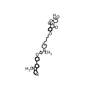 Cn1c2ccncc2c2ccc(-c3ccc(O[C@H]4C[C@H](N(C)C5CCN(CCCCCOc6ccc7c(c6)C(=O)N(C6CCC(=O)NC6=O)C7=O)CC5)C4)cc3)cc21